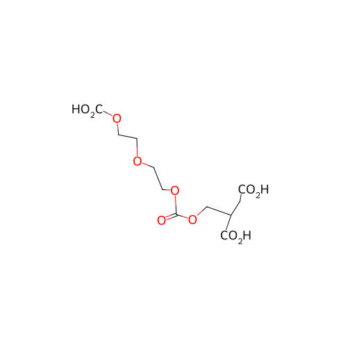 O=C(O)CC(COC(=O)OCCOCCOC(=O)O)C(=O)O